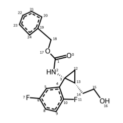 O=C(N[C@]1(c2cc(F)ccc2F)C[C@@H]1CCO)OCc1ccccc1